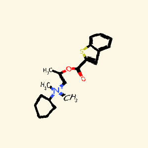 CC(C[N+](C)(C)C1CCCCC1)OC(=O)c1cc2ccccc2s1